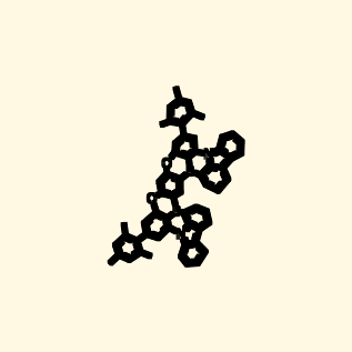 Cc1cc(C)c(-c2cc3c4c(c2)-n2c5ccccc5c5cccc(c52)B4c2cc4c(cc2O3)Oc2cc(-c3c(C)cc(C)cc3C)cc3c2B4c2cccc4c5ccccc5n-3c24)c(C)c1